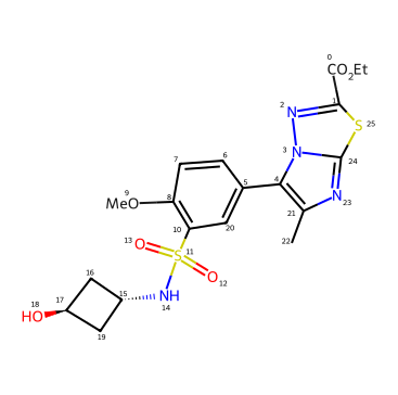 CCOC(=O)c1nn2c(-c3ccc(OC)c(S(=O)(=O)N[C@H]4C[C@H](O)C4)c3)c(C)nc2s1